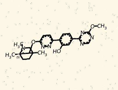 COc1ncnc(-c2ccc(-c3ccc(OC4C(F)[C@]5(C)CCC4(C)CN5C)nn3)c(O)c2)n1